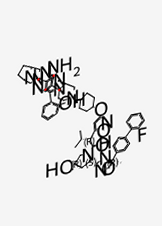 CC(C)[C@@H](C(=O)N1C[C@H](O)C[C@H]1C1=NO[C@](C)(c2ccc(-c3ccccc3F)cc2)N1)c1cc(O[C@H]2CC[C@H](N3CCC(c4cnc(N5C6CCC5CN(c5cc(-c7ccccc7O)nnc5N)C6)nc4)CC3)CC2)no1